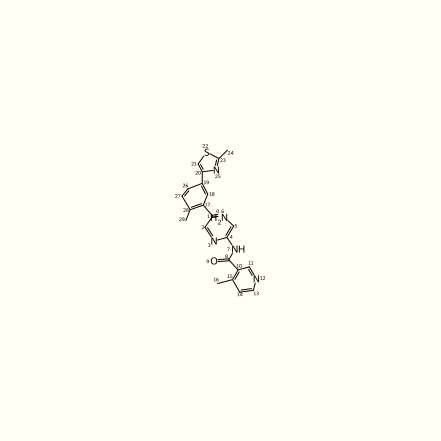 C=C(/C=N\C(=C/N)NC(=O)c1cnccc1C)c1cc(-c2csc(C)n2)ccc1C